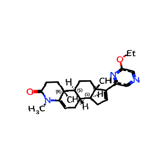 CCOc1cncc(C2=CC[C@H]3[C@@H]4CC=C5N(C)C(=O)CC[C@]5(C)[C@H]4CC[C@]23C)n1